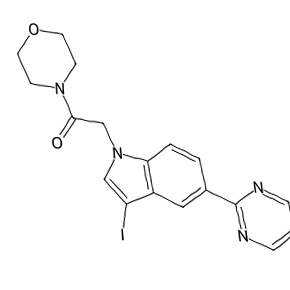 O=C(Cn1cc(I)c2cc(-c3ncccn3)ccc21)N1CCOCC1